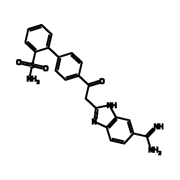 N=C(N)c1ccc2nc(CC(=O)c3ccc(-c4ccccc4S(N)(=O)=O)cc3)[nH]c2c1